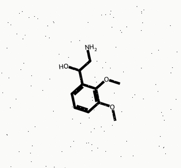 COc1cccc(C(O)CN)c1OC